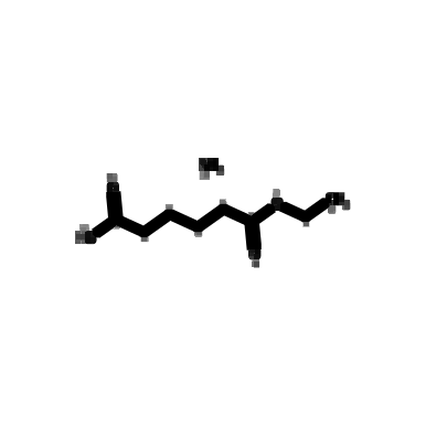 CCOC(=O)CCCCC(=O)O.N